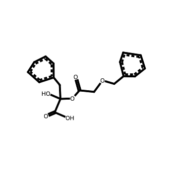 O=C(COCc1ccccc1)OC(O)(Cc1ccccc1)C(=O)O